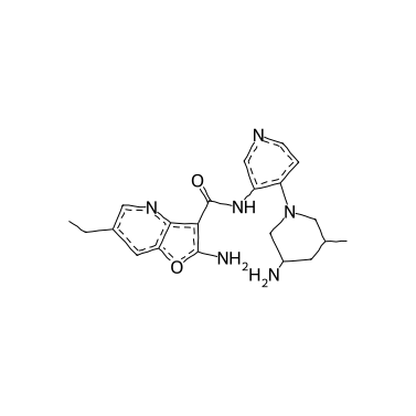 CCc1cnc2c(C(=O)Nc3cnccc3N3CC(C)CC(N)C3)c(N)oc2c1